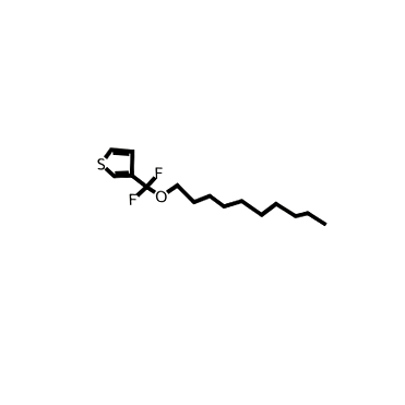 CCCCCCCCCCOC(F)(F)c1ccsc1